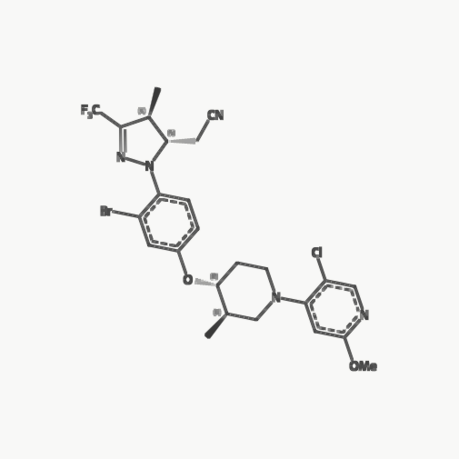 COc1cc(N2CC[C@@H](Oc3ccc(N4N=C(C(F)(F)F)[C@@H](C)[C@@H]4CC#N)c(Br)c3)[C@H](C)C2)c(Cl)cn1